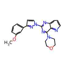 COc1cccc(-c2ccn(-c3nc(N4CCOCC4)c4ncccc4n3)n2)c1